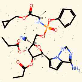 CCC(=O)O[C@@H]1[C@H](c2ccc3c(N)ncnn23)O[C@](C#N)(COP(=O)(N[C@@H](C)C(=O)OCC2CC2)Oc2ccccc2)[C@H]1OC(=O)CC